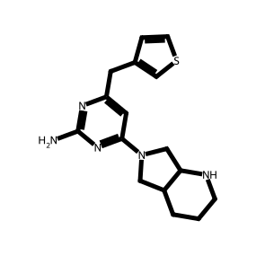 Nc1nc(Cc2ccsc2)cc(N2CC3CCCNC3C2)n1